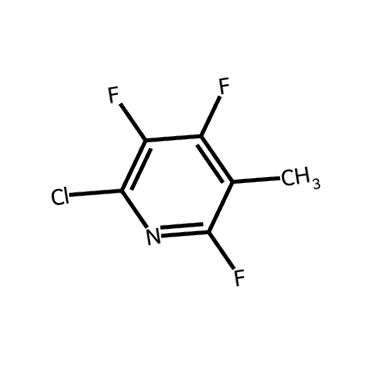 Cc1c(F)nc(Cl)c(F)c1F